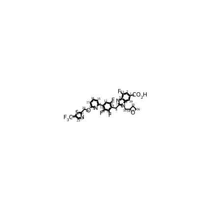 O=C(O)c1cc(F)c2nc(Cc3c(F)cc(-c4cccc(OCc5ncc(C(F)(F)F)s5)n4)c(F)c3F)n(CC3CCO3)c2c1